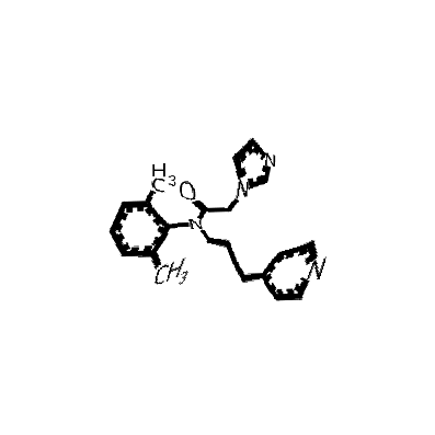 Cc1cccc(C)c1N(CCCc1ccncc1)C(=O)Cn1ccnc1